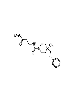 COC(=O)CCNC(=O)N1CCC(C#N)(CCc2ccccc2)CC1